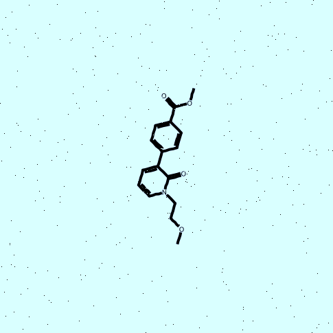 COCCn1cccc(-c2ccc(C(=O)OC)cc2)c1=O